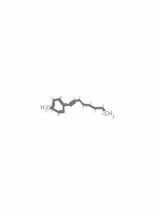 CCCCCCC#Cc1ccc(C)cc1